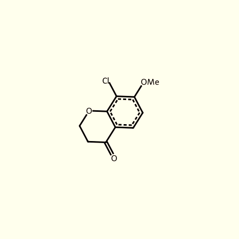 COc1ccc2c(c1Cl)OCCC2=O